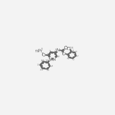 CCCOc1cc(=NC(=O)Oc2ccccc2Cl)cnn1-c1ccccc1